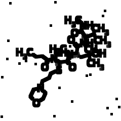 CCCC(=O)N(C)[C@H](SCCCN1CCOCC1)C(=O)N(C)[C@@H](CC(C)(C)O)C(=O)N[C@H](C(=O)NC)C(C)C